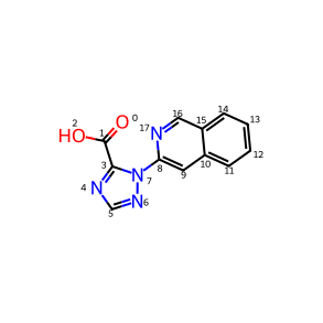 O=C(O)c1ncnn1-c1cc2ccccc2cn1